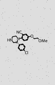 COCCOc1ccc(N2CCNC[C@H]2c2ccc(Cl)cc2)c(C#N)c1